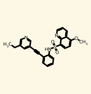 CCc1cncc(C#Cc2ccccc2NS(=O)(=O)c2ccc(OC)c3cccnc23)c1